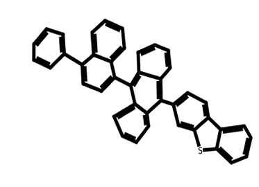 c1ccc(-c2ccc(-c3c4ccccc4c(-c4ccc5c(c4)sc4ccccc45)c4ccccc34)c3ccccc23)cc1